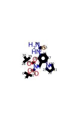 CC(C)(C)OC(=O)N(Cc1cc(NC(N)=S)ccc1N1CCCC1)C(=O)OC(C)(C)C